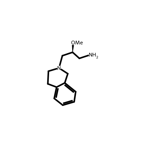 CO[C@@H](CN)CN1CCc2ccccc2C1